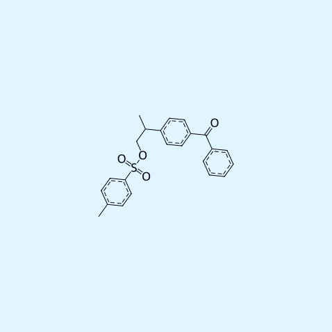 Cc1ccc(S(=O)(=O)OCC(C)c2ccc(C(=O)c3ccccc3)cc2)cc1